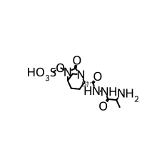 CC(N)C(=O)NNC(=O)[C@@H]1CCC2CN1C(=O)N2OS(=O)(=O)O